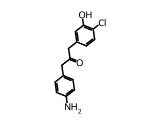 Nc1ccc(CC(=O)Cc2ccc(Cl)c(O)c2)cc1